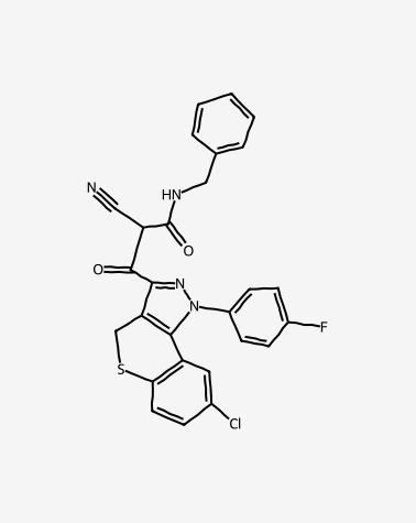 N#CC(C(=O)NCc1ccccc1)C(=O)c1nn(-c2ccc(F)cc2)c2c1CSc1ccc(Cl)cc1-2